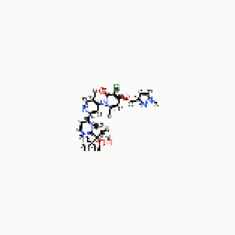 [2H]C([2H])([2H])C(O)(c1nccc(-c2cc(-n3c(C)cc(OCc4ccn(C)n4)c(Cl)c3=O)c(C)cn2)n1)C([2H])([2H])[2H]